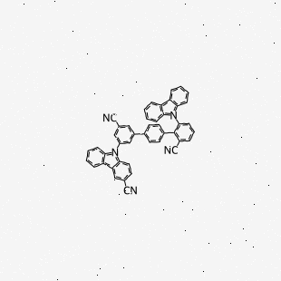 N#Cc1cc(-c2ccc(-c3c(C#N)cccc3-n3c4ccccc4c4ccccc43)cc2)cc(-n2c3ccccc3c3cc(C#N)ccc32)c1